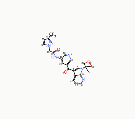 CC1(n2cc(C(=O)c3cncc(NC(=O)Cn4ccc(C(F)(F)F)n4)c3)c3cncnc32)COC1